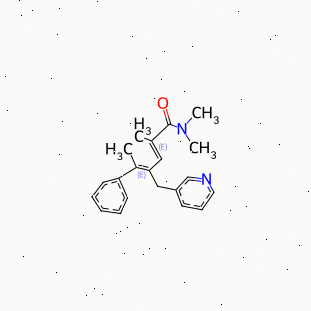 C/C(=C\C(Cc1cccnc1)=C(/C)c1ccccc1)C(=O)N(C)C